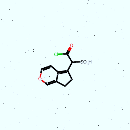 O=C(Cl)C(C1=C2C=COC=C2CC1)S(=O)(=O)O